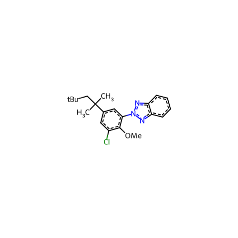 COc1c(Cl)cc(C(C)(C)CC(C)(C)C)cc1-n1nc2ccccc2n1